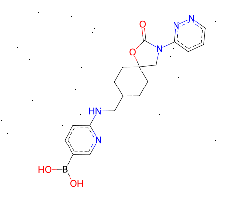 O=C1OC2(CCC(CNc3ccc(B(O)O)cn3)CC2)CN1c1cccnn1